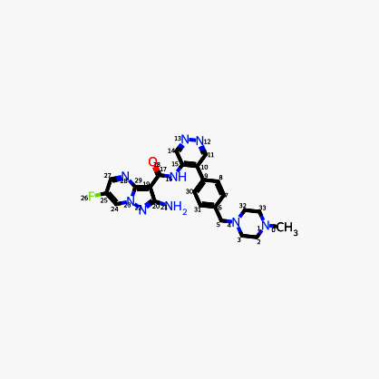 CN1CCN(Cc2ccc(-c3cnncc3NC(=O)c3c(N)nn4cc(F)cnc34)cc2)CC1